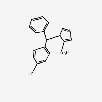 O=C(O)c1cncn1C(c1ccccc1)c1ccc(Cl)cc1